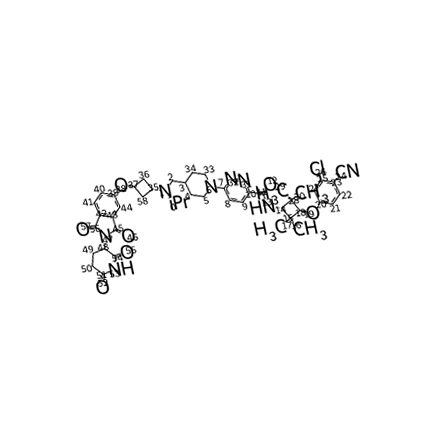 CC(C)N(CC1CCN(c2ccc(C(=O)N[C@H]3C(C)(C)[C@H](Oc4ccc(C#N)c(Cl)c4)C3(C)C)nn2)CC1)[C@H]1C[C@H](Oc2ccc3c(c2)C(=O)N(C2CCC(=O)NC2=O)C3=O)C1